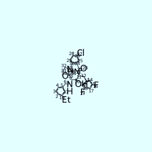 CCc1cccc(CNC[C@H](O)[C@H](Cc2cc(F)cc(F)c2)NC(=O)c2cc(Cl)ccc2N2CCOCC2)c1